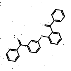 O=C(c1ccccc1)c1cccc(Sc2ccccc2C(=O)c2ccccc2)c1